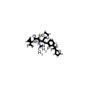 C/C(N)=N/C(=C(\Cc1cccc(C(F)(F)C2CCCO2)c1F)C1OCCO1)C(F)C(=O)NC1(C(F)F)CC1